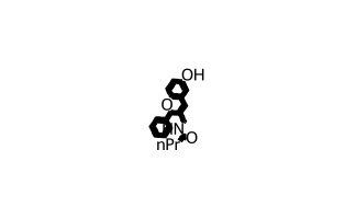 CCCC(=O)NCC1=Cc2cc(O)ccc2OC1c1ccccc1